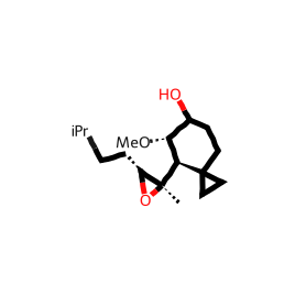 CO[C@@H]1C(O)CCC2(CC2)[C@H]1[C@@]1(C)O[C@@H]1CCC(C)C